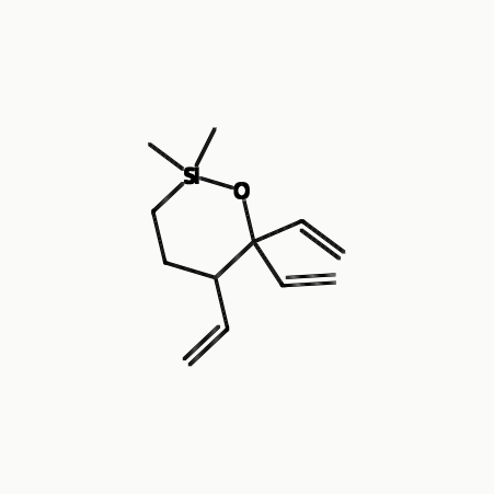 C=CC1CC[Si](C)(C)OC1(C=C)C=C